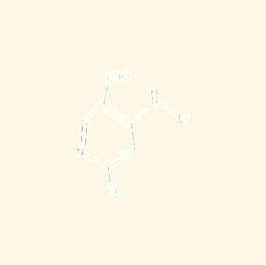 CCNc1cc(Cl)ncc1C=O